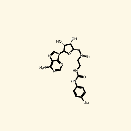 CCN(CCNC(=O)Nc1ccc(C(C)(C)C)cc1)C[C@H]1OC(n2cnc3c(N)ncnc32)[C@H](O)[C@@H]1O